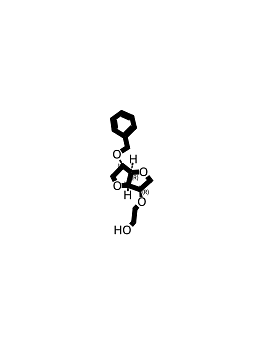 OCCO[C@@H]1CO[C@H]2[C@@H]1OC[C@@H]2OCc1ccccc1